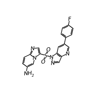 Nc1ccc2ncc(S(=O)(=O)n3ncc4ncc(-c5ccc(F)cc5)cc43)n2c1